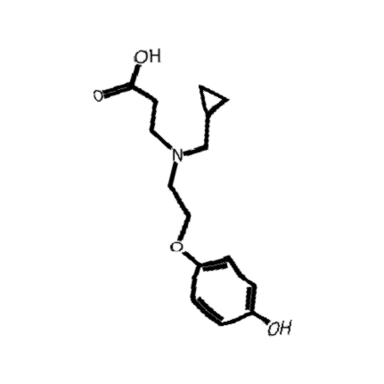 O=C(O)CCN(CCOc1ccc(O)cc1)CC1CC1